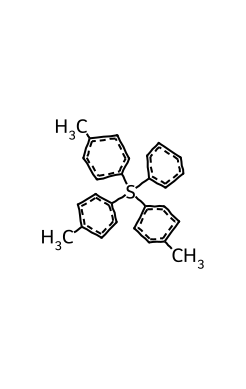 Cc1ccc(S(c2ccccc2)(c2ccc(C)cc2)c2ccc(C)cc2)cc1